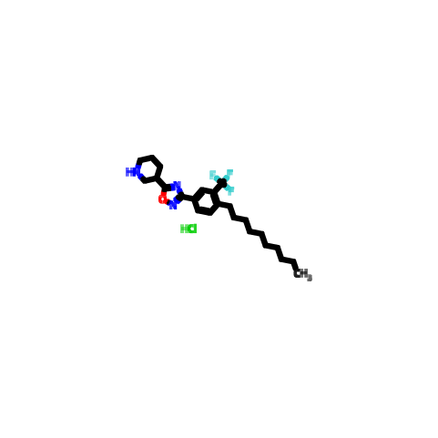 CCCCCCCCCCc1ccc(-c2noc(C3CCCNC3)n2)cc1C(F)(F)F.Cl